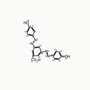 O=C(O)c1cc(N=Nc2ccc(O)cc2)cc(N=Nc2ccc(O)cc2)c1